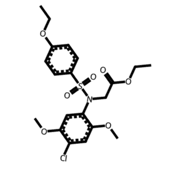 CCOC(=O)CN(c1cc(OC)c(Cl)cc1OC)S(=O)(=O)c1ccc(OCC)cc1